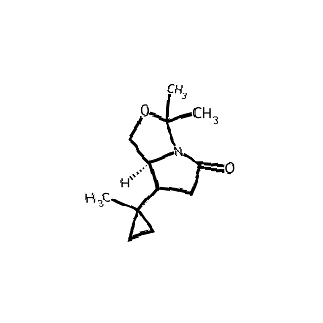 CC1(C2CC(=O)N3[C@@H]2COC3(C)C)CC1